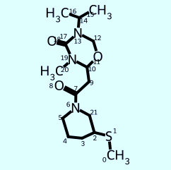 CSC1CCCN(C(=O)CC2OCN(C(C)C)C(=O)N2C)C1